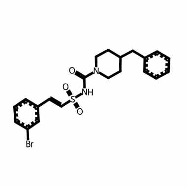 O=C(NS(=O)(=O)C=Cc1cccc(Br)c1)N1CCC(Cc2ccccc2)CC1